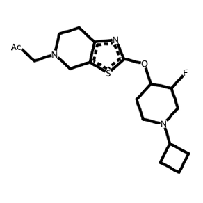 CC(=O)CN1CCc2nc(OC3CCN(C4CCC4)CC3F)sc2C1